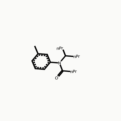 CCCC(=O)N(c1cccc(C)c1)C(CCC)CCC